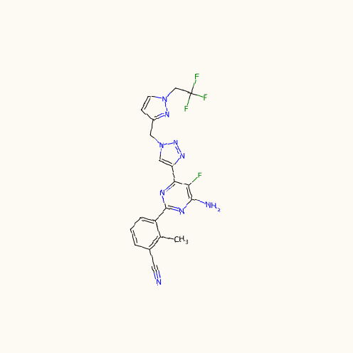 Cc1c(C#N)cccc1-c1nc(N)c(F)c(-c2cn(Cc3ccn(CC(F)(F)F)n3)nn2)n1